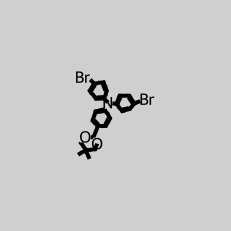 CC1(C)COC(c2ccc(N(c3ccc(Br)cc3)c3ccc(Br)cc3)cc2)OC1